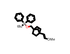 COC=CC12CCC(CO[Si](c3ccccc3)(c3ccccc3)C(C)(C)C)(CC1)C2